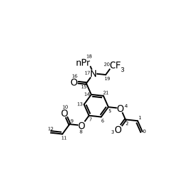 C=CC(=O)Oc1cc(OC(=O)C=C)cc(C(=O)N(CCC)CC(F)(F)F)c1